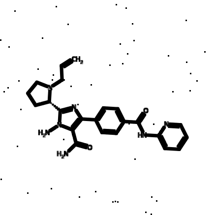 C=CCN1CCC[C@H]1c1nc(-c2ccc(C(=O)Nc3ccccn3)cc2)c(C(N)=O)n1N